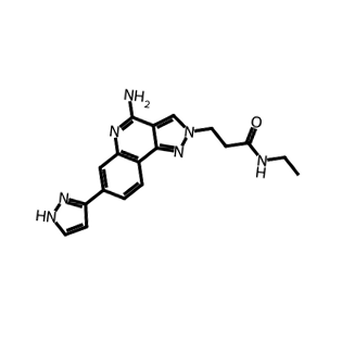 CCNC(=O)CCn1cc2c(N)nc3cc(-c4cc[nH]n4)ccc3c2n1